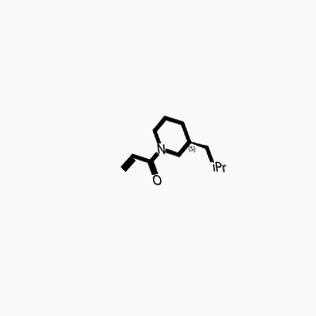 C=CC(=O)N1CCC[C@@H](CC(C)C)C1